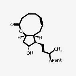 CCCCCC(C)/C=C/[C@@H]1[C@H]2C/C=C\CCCC(=O)O[C@H]2C[C@H]1O